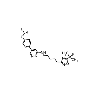 CC(C)(F)c1nc(CCCCCNc2cc(-c3ccc(OC(F)F)cc3)cnn2)no1